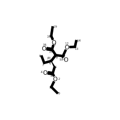 CCOC(=O)C[C@@H](CC)C(C(=O)OCC)C(=O)OCC